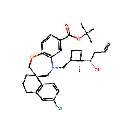 C=CC[C@H](O)[C@]1(C)CC[C@@H]1CN1C[C@@]2(CCCc3cc(Cl)ccc32)COc2ccc(C(=O)OC(C)(C)C)cc21